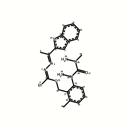 CCC(=NN=C(C)c1cc2ccccc2s1)OCc1c(C)cccc1N(N)C(=O)N(C)N